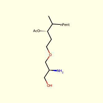 CCCCCC(C)[C@H](CCOC[C@@H](N)CO)OC(C)=O